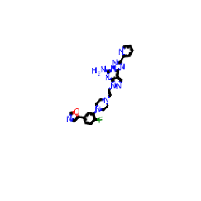 Nc1nc2c(cnn2CCN2CCN(c3cc(-c4cnco4)ccc3F)CC2)c2nc(-c3ccccn3)nn12